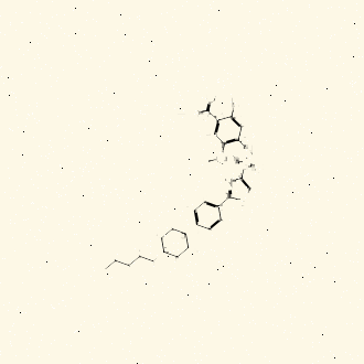 CCCCC[C@H]1CC[C@H](c2ccc(-c3nc(S(=O)(=O)Nc4cc(F)c(C(=O)O)cc4OC)cs3)cc2)CC1